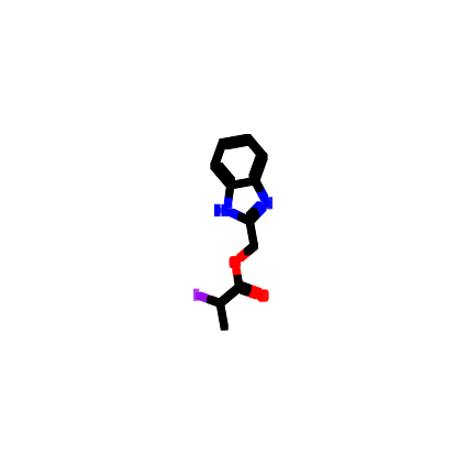 CC(I)C(=O)OCc1nc2ccccc2[nH]1